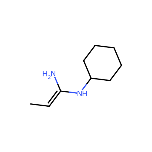 CC=C(N)NC1CCCCC1